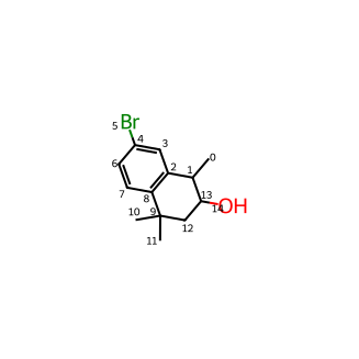 CC1c2cc(Br)ccc2C(C)(C)CC1O